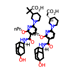 CCCOc1nc(N2CCCC(C(C)(C)C(=O)O)C2)ccc1C(=O)N[C@H]1C2CC3CC1C[C@@](O)(C3)C2.CCCOc1nc(N2CCC[C@@H](CC(=O)O)C2)ccc1C(=O)N[C@H]1C2CC3CC1C[C@@](O)(C3)C2